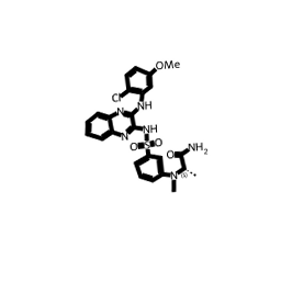 COc1ccc(Cl)c(Nc2nc3ccccc3nc2NS(=O)(=O)c2cccc(N(C)[C@@H](C)C(N)=O)c2)c1